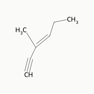 C#C/C(C)=C/CC